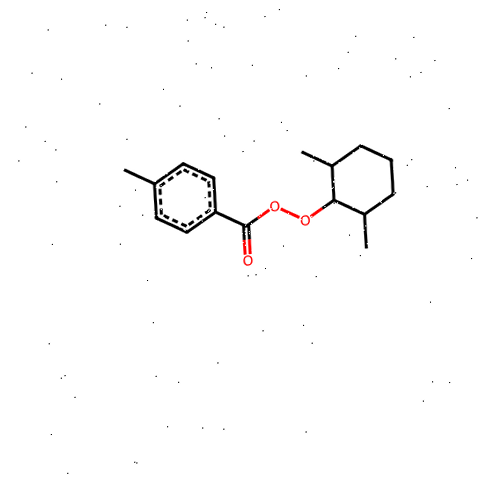 Cc1ccc(C(=O)OO[C]2C(C)CCCC2C)cc1